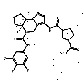 COC(=O)N1CCC(C(=O)Nc2cnn3c2CN(C(=O)Nc2cc(F)c(F)c(F)c2)[C@H]2CCC[C@H]23)C1